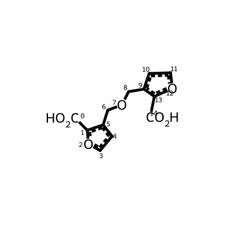 O=C(O)c1occc1COCc1ccoc1C(=O)O